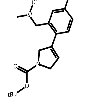 C[S+]([O-])Cc1cc(N)ccc1C1=CCN(C(=O)OC(C)(C)C)C1